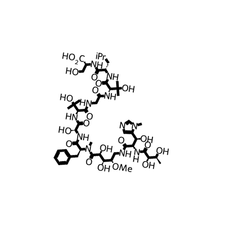 CO[C@@H](CNC(=O)[C@H](NC(=O)[C@H](O)[C@H](C)O)[C@H](O)c1cncn1C)[C@H](O)[C@H](O)C(=O)N(C)[C@@H](Cc1ccccc1)C(=O)N[C@H](O)C(=O)N[C@H](C(=O)NCC(=O)N[C@H](C(=O)N[C@@H](CC(C)C)C(=O)N[C@@H](CO)C(=O)O)C(C)(C)O)C(C)(C)O